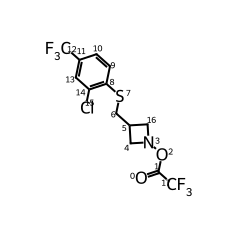 O=C(ON1CC(CSc2ccc(C(F)(F)F)cc2Cl)C1)C(F)(F)F